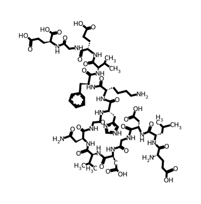 CC(C)C[C@H](NC(=O)[C@@H](N)CCC(=O)O)C(=O)N[C@@H](CC(=O)O)C(=O)NCC(=O)N[C@@H](CC(=O)O)C(=O)N[C@H](C(=O)N[C@@H](CC(N)=O)C(=O)NCC(=O)N[C@@H](Cc1c[nH]cn1)C(=O)N[C@@H](CCCCN)C(=O)N[C@@H](Cc1ccccc1)C(=O)N[C@H](C(=O)N[C@@H](CCC(=O)O)C(=O)NCC(=O)N[C@@H](CCC(=O)O)C(=O)O)C(C)C)C(C)C